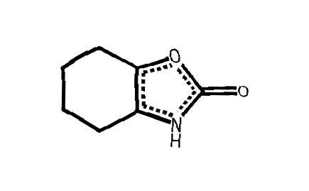 O=c1[nH]c2c(o1)CCCC2